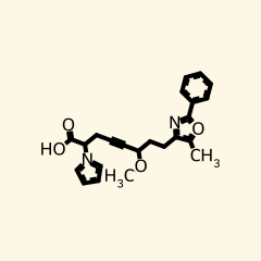 COC(C#CCC(C(=O)O)n1cccc1)CCc1nc(-c2ccccc2)oc1C